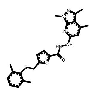 Cc1cccc(C)c1SCc1ccc(C(=O)NNc2cc(C)c3c(C)nn(C)c3n2)o1